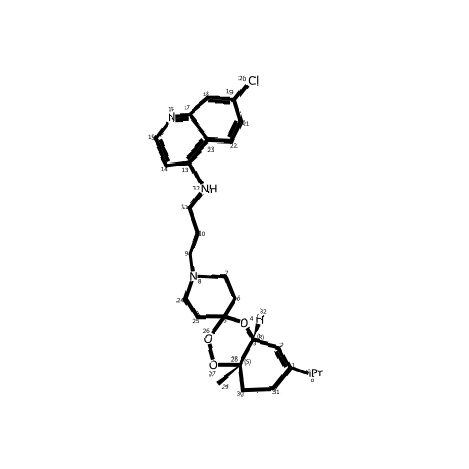 CC(C)C1=C[C@H]2OC3(CCN(CCCNc4ccnc5cc(Cl)ccc45)CC3)OO[C@@]2(C)CC1